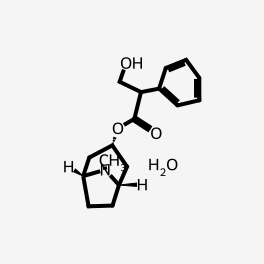 CN1[C@@H]2CC[C@H]1C[C@@H](OC(=O)C(CO)c1ccccc1)C2.O